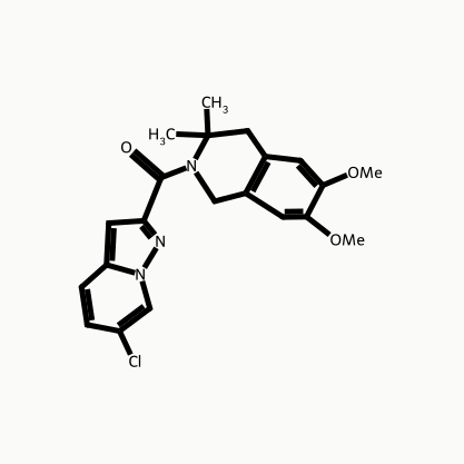 COc1cc2c(cc1OC)CC(C)(C)N(C(=O)c1cc3ccc(Cl)cn3n1)C2